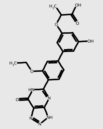 CCOc1cc(-c2cc(O)cc(OC(C)C(=O)O)c2)ccc1-c1nc2[nH]nnc2c(=O)[nH]1